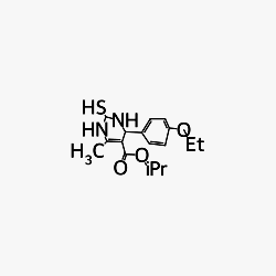 CCOc1ccc(C2NC(S)NC(C)=C2C(=O)OC(C)C)cc1